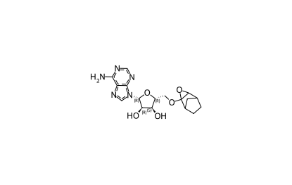 Nc1ncnc2c1ncn2[C@@H]1O[C@H](COC23OC2C2CCC3C2)[C@@H](O)[C@H]1O